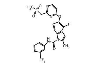 Cc1cc2c(F)c(Oc3ccnc(CS(C)(=O)=O)n3)ccc2n1C(=O)Nc1cccc(C(F)(F)F)c1